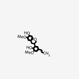 C/C=C/c1cc(OC)c(O)c(C(CO)Cc2ccc(O)c(OC)c2)c1